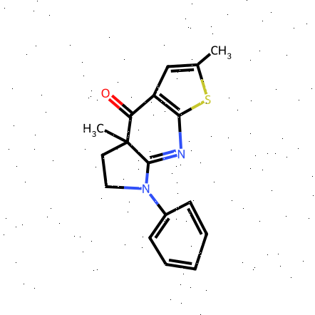 Cc1cc2c(s1)N=C1N(c3ccccc3)CCC1(C)C2=O